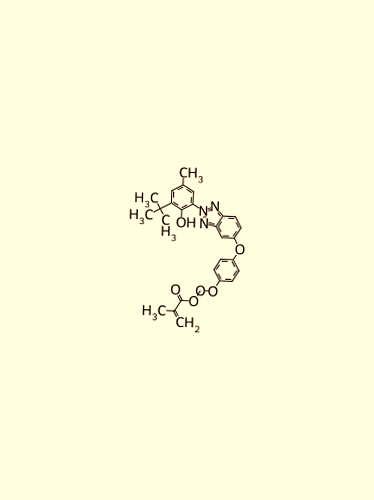 C=C(C)C(=O)OOOc1ccc(Oc2ccc3nn(-c4cc(C)cc(C(C)(C)C)c4O)nc3c2)cc1